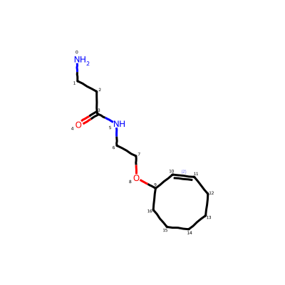 NCCC(=O)NCCOC1/C=C\CCCCC1